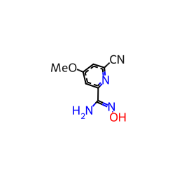 COc1cc(C#N)nc(C(N)=NO)c1